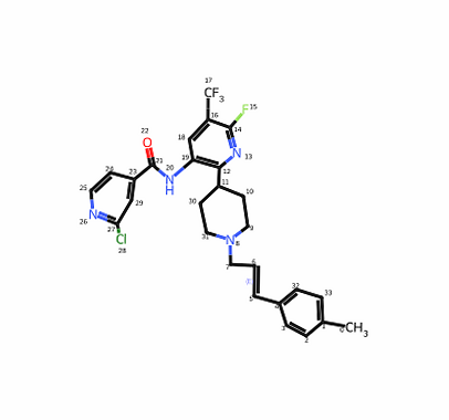 Cc1ccc(/C=C/CN2CCC(c3nc(F)c(C(F)(F)F)cc3NC(=O)c3ccnc(Cl)c3)CC2)cc1